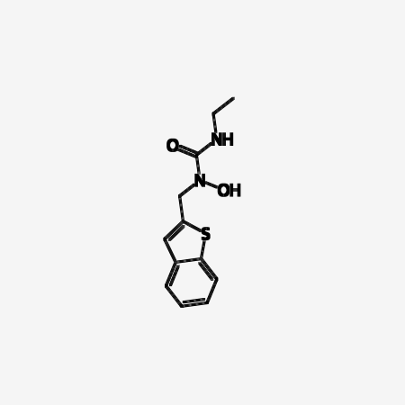 CCNC(=O)N(O)Cc1cc2ccccc2s1